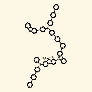 CC1(C)c2cc(N(c3ccccc3)c3ccc(-c4ccc(-c5ccccc5)cc4)cc3)ccc2-c2ccc(-n3c4ccccc4c4cc(-c5cccc(-c6ccc(-c7ccc(N(c8ccc(-c9ccc(-c%10ccccc%10)cc9)cc8)c8ccc(-c9ccc%10oc%11ccccc%11c%10c9)cc8)cc7)cc6)c5)ccc43)cc21